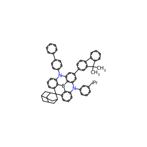 CC(C)c1cccc(N2c3cc(-c4ccc5c(c4)C(C)(C)c4ccccc4-5)cc4c3B3c5c(cccc5C5(c6cccc2c63)C2CC3CC(C2)CC5C3)N4c2ccc(-c3ccccc3)cc2)c1